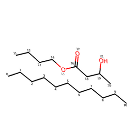 CCCCCCCCCCC.CCCCOC(=O)CC(C)O